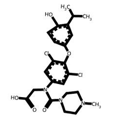 CC(C)c1cc(Oc2c(Cl)cc(N(CC(=O)O)C(=O)N3CCN(C)CC3)cc2Cl)ccc1O